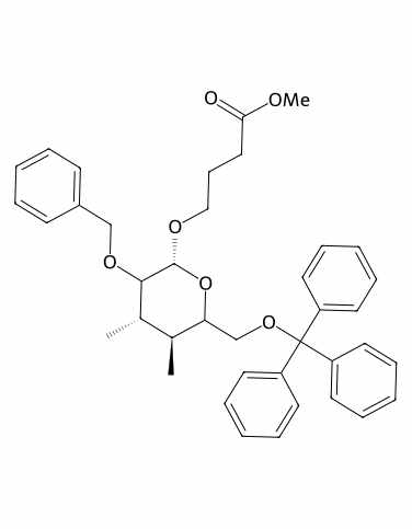 COC(=O)CCCO[C@@H]1OC(COC(c2ccccc2)(c2ccccc2)c2ccccc2)[C@@H](C)[C@H](C)C1OCc1ccccc1